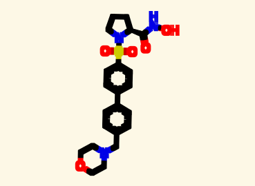 O=C(NO)[C@@H]1CCCN1S(=O)(=O)c1ccc(-c2ccc(CN3CCOCC3)cc2)cc1